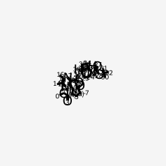 COC(=O)[C@H]1C[C@@H](C)C(=O)N1c1nc(C)c(C)nc1C(=O)CN1CCN(C(=O)OC(C)(C)C)[C@H]2CC[C@@H]21